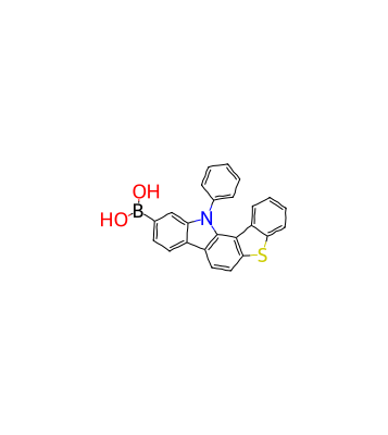 OB(O)c1ccc2c3ccc4sc5ccccc5c4c3n(-c3ccccc3)c2c1